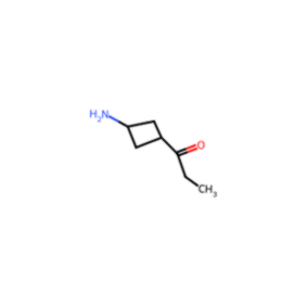 CCC(=O)C1CC(N)C1